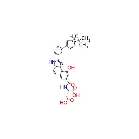 CC(C)(C)c1ccc(-c2cccc(-c3nc4c(ccc5cc(C(=O)N[C@@H](CC(=O)O)C(=O)O)cc(O)c54)[nH]3)c2)cc1